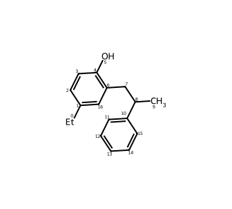 CCc1ccc(O)c(CC(C)c2ccccc2)c1